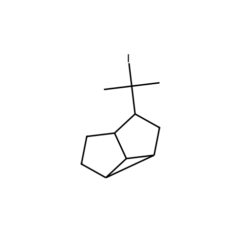 CC(C)(I)C1CC2C3CCC1C32